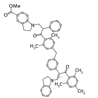 COC(=O)c1ccc2c(c1)CCN2CC(C(=O)c1c(C)cc(Cc2cccc(/C(=C\N3CCc4ccccc43)C(=O)c3c(C)cc(C)cc3C)c2)cc1C)c1ccccc1